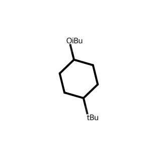 CC(C)COC1CCC(C(C)(C)C)CC1